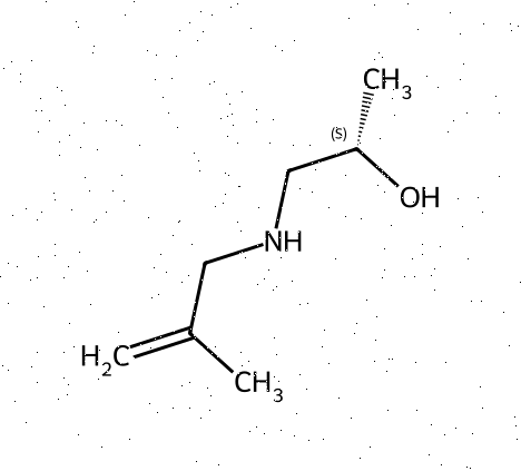 C=C(C)CNC[C@H](C)O